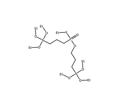 CCO[Si](CCCOP(=O)(CCC[Si](OCC)(OCC)OCC)SCC)(OCC)OCC